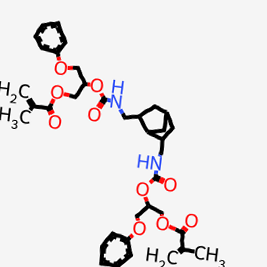 C=C(C)C(=O)OCC(COc1ccccc1)OC(=O)NCC1CC2CC(CNC(=O)OC(COC(=O)C(=C)C)COc3ccccc3)C1C2